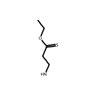 CCOC(=S)CC[NH]